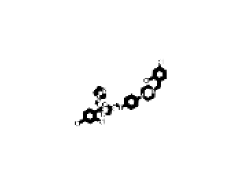 Clc1ccc(CN2CCN(c3ccc(OC[C@@H]4CO[C@@](Cn5ccnc5)(c5ccc(Cl)cc5Cl)O4)cc3)CC2)c(Cl)c1